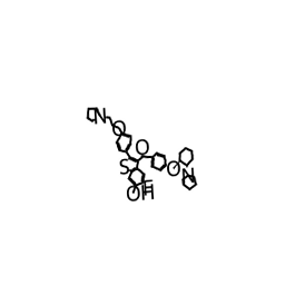 O=C(c1ccc(O[C@H]2CCCC[C@@H]2N2CCCCC2)cc1)c1c(-c2ccc(OCCN3CCCC3)cc2)sc2cc(O)c(F)cc12